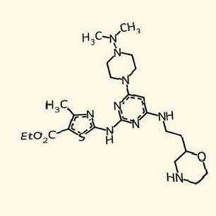 CCOC(=O)c1sc(Nc2nc(NCCC3CNCCO3)cc(N3CCN(N(C)C)CC3)n2)nc1C